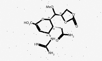 COC([C@H]1COC(=O)O1)[C@@H]1OC(C(=O)O)=C[C@@H](NC(=N)N)[C@H]1CC(N)=O